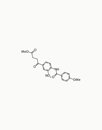 COC(=O)CCC(=O)c1ccc(NC(=O)c2ccc(OC)cc2)c([N+](=O)[O-])c1